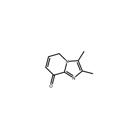 Cc1nc2n(c1C)CC=CC2=O